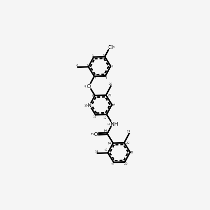 Cc1cc(Cl)ccc1Oc1ncc(NC(=O)c2c(C)cccc2C)cc1C